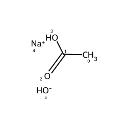 CC(=O)O.[Na+].[OH-]